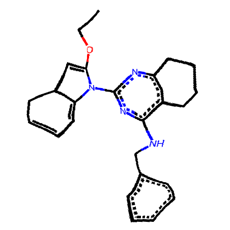 CCOC1=CC2CC=CC=C2N1c1nc2c(c(NCc3ccccc3)n1)CCCC2